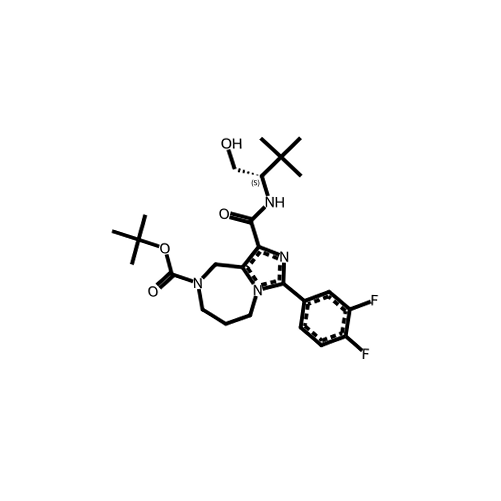 CC(C)(C)OC(=O)N1CCCn2c(-c3ccc(F)c(F)c3)nc(C(=O)N[C@H](CO)C(C)(C)C)c2C1